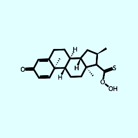 C[C@@H]1C[C@H]2[C@@H]3CCC4=CC(=O)C=C[C@]4(C)[C@H]3CC[C@]2(C)C1C(=S)OO